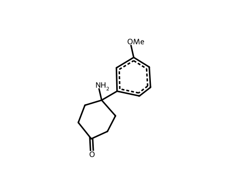 COc1cccc(C2(N)CCC(=O)CC2)c1